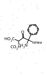 CCCCCCC(N)(C(=O)C(C(=O)O)C(=O)O)c1ccccc1